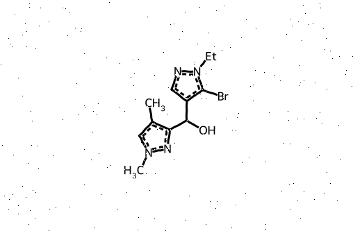 CCn1ncc(C(O)c2nn(C)cc2C)c1Br